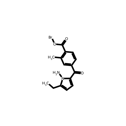 CCc1ccc(C(=O)c2ccc(C(=O)OBr)c(C)c2)n1N